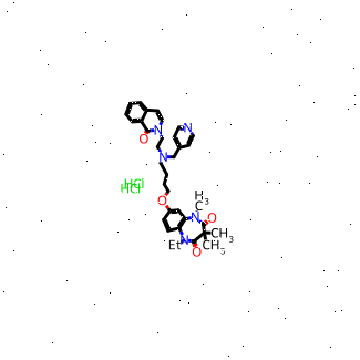 CCN1C(=O)C(C)(C)C(=O)N(C)c2cc(OCCCCN(CCn3ccc4ccccc4c3=O)Cc3ccncc3)ccc21.Cl.Cl